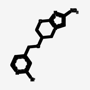 O=[N+]([O-])c1cn2c(n1)OCC(OCc1ccnc(Br)c1)C2